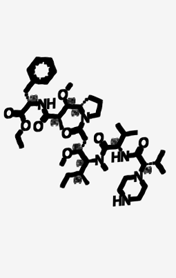 CCOC(=O)[C@H](Cc1ccccc1)NC(=O)[C@H](C)[C@@H](OC)[C@@H]1CCCN1C(=O)C[C@@H](OC)[C@H]([C@@H](C)CC)N(C)C(=O)[C@@H](NC(=O)[C@H](C(C)C)N1CCNCC1)C(C)C